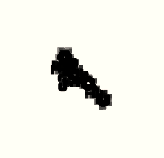 O=CNC(C1=NOC2(CCC(CNc3ccccn3)CC2)C1)[C@H](NS(=O)(=O)c1ccccc1Br)C(=O)O